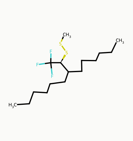 CCCCCCC(CCCCCC)[C@H](SSC)C(F)(F)F